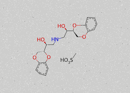 CS(=O)(=O)O.O[C@H](CNC[C@H](O)[C@H]1COc2ccccc2O1)[C@@H]1COc2ccccc2O1